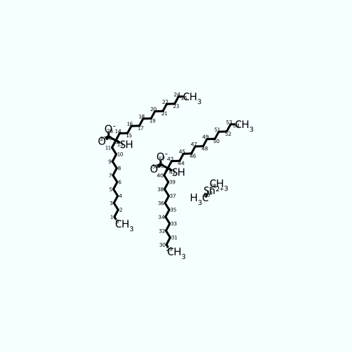 CCCCCCCCCCCCC(S)(CCCCCCCCCCCC)C(=O)[O-].CCCCCCCCCCCCC(S)(CCCCCCCCCCCC)C(=O)[O-].[CH3][Sn+2][CH3]